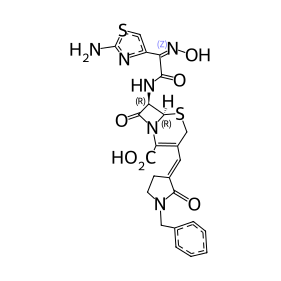 Nc1nc(/C(=N/O)C(=O)N[C@@H]2C(=O)N3C(C(=O)O)=C(C=C4CCN(Cc5ccccc5)C4=O)CS[C@H]23)cs1